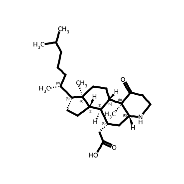 CC(C)CCC[C@@H](C)[C@H]1CC[C@H]2[C@@H]3[C@@H](CC(=O)O)C[C@H]4NCCC(=O)[C@]4(C)[C@H]3CC[C@]12C